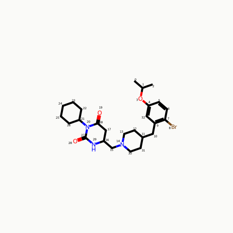 CC(C)Oc1ccc(Br)c(CC2CCN(CC3CC(=O)N(C4CCCCC4)C(=O)N3)CC2)c1